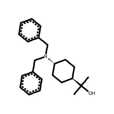 CC(C)(O)[C@H]1CC[C@H](N(Cc2ccccc2)Cc2ccccc2)CC1